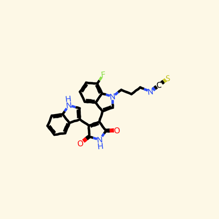 O=C1NC(=O)C(c2cn(CCCN=C=S)c3c(F)cccc23)=C1c1c[nH]c2ccccc12